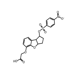 O=C(O)COc1cccc2c1OC1CCC(OS(=O)(=O)c3ccc([N+](=O)[O-])cc3)C21